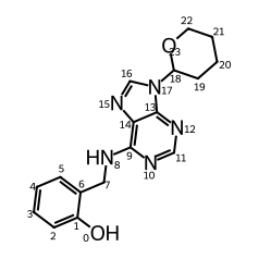 Oc1ccccc1CNc1ncnc2c1ncn2C1CCCCO1